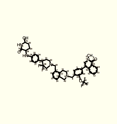 Cn1cc(-c2ccc(CN3CCc4c(cccc4CN4CCC(c5ccc(NC6CCC(O)NC6=O)cc5)C(F)(F)C4)C3)c(OC(F)(F)F)c2)c2ccccc2c1=O